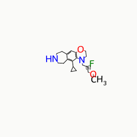 COC[C@@H](F)CN1CCOc2cc3c(c(C4CC4)c21)CCNCC3